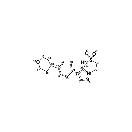 O=S1(=O)CCn2ncc(-c3ccc(C4CCOCC4)cc3)c2N1